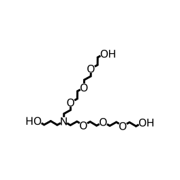 OCCCN(CCOCCOCCOCCO)CCOCCOCCOCCO